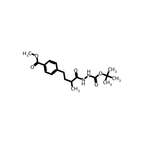 COC(=O)c1ccc(CCC(C)C(=O)NNC(=O)OC(C)(C)C)cc1